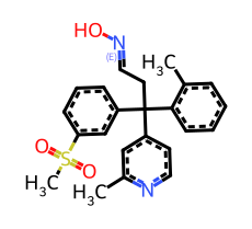 Cc1cc(C(C/C=N/O)(c2cccc(S(C)(=O)=O)c2)c2ccccc2C)ccn1